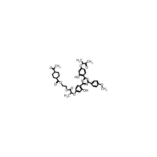 COc1ccc(-c2nc(-c3ccc(OC(C)C(C)=O)cc3O)nc(-c3ccc(OC(C)C(=O)OCCOC(=O)C4CCC(C(C)=O)CC4)cc3O)n2)cc1